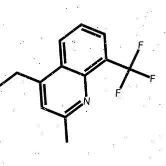 CCc1cc(C)nc2c(C(F)(F)F)cccc12